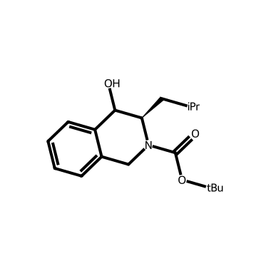 CC(C)C[C@@H]1C(O)c2ccccc2CN1C(=O)OC(C)(C)C